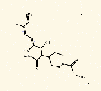 C=C/C(F)=C\C=C(/C)C(O)C(C(=O)OC)C1CCN(C(=O)OC(C)(C)C)CC1